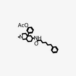 CC(=O)Oc1cccc(C23CCN(C)CC2CCC(NC(=O)CCCCCc2ccccc2)C3)c1